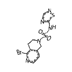 O=S(=O)(Nc1ncns1)N1CCc2c(ccnc2Br)C1